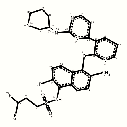 Cc1ccc2c(NS(=O)(=O)CCC(F)F)c(F)ccc2c1Oc1ncccc1-c1ccnc(N[C@H]2CCCNC2)n1